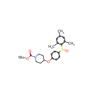 Cc1cc(C)c([S+]([O-])c2ccc(OC3CCN(C(=O)OC(C)(C)C)CC3)cc2)c(C)c1